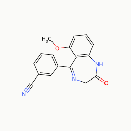 COc1cccc2c1C(c1cccc(C#N)c1)=NCC(=O)N2